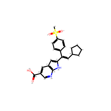 CS(=O)(=O)c1ccc(/C(=C\C2CCCC2)c2cc3cc(C(=O)O)cnc3[nH]2)cc1